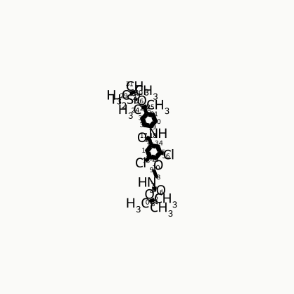 CC(C)(C)OC(=O)NCCOc1c(Cl)cc(C(=O)Nc2ccc(C(C)(C)O[SiH2]C(C)(C)C)cc2)cc1Cl